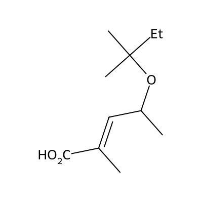 CCC(C)(C)OC(C)C=C(C)C(=O)O